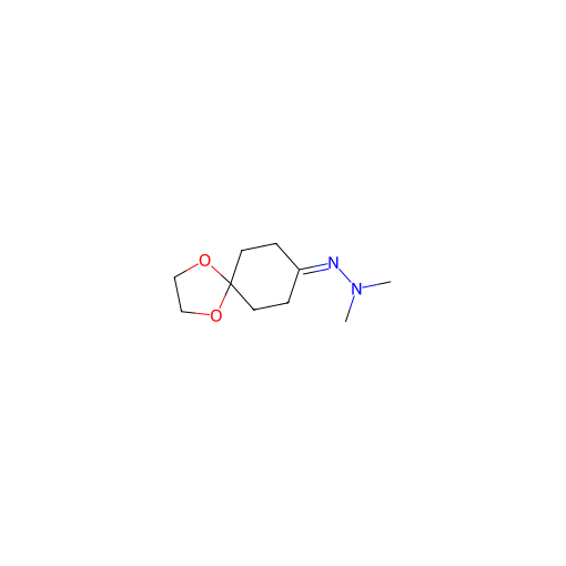 CN(C)N=C1CCC2(CC1)OCCO2